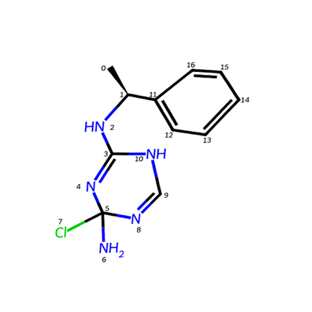 C[C@H](NC1=NC(N)(Cl)N=CN1)c1ccccc1